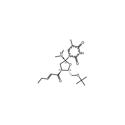 CCC=CC(=O)[C@H]1C[C@@](n2cc(C)c(=O)[nH]c2=O)([SiH](C)C)O[C@@H]1COC(C)(C)C